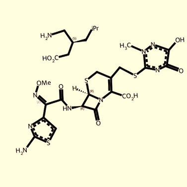 CC(C)C[C@H](CN)CC(=O)O.CO/N=C(\C(=O)N[C@@H]1C(=O)N2C(C(=O)O)=C(CSc3nc(=O)c(O)nn3C)CS[C@H]12)c1csc(N)n1